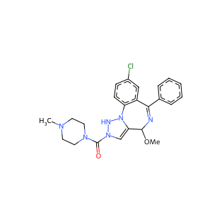 COC1N=C(c2ccccc2)c2cc(Cl)ccc2N2NN(C(=O)N3CCN(C)CC3)C=C12